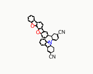 N#CC1=Cc2c(n(C3=CC=C(C#N)CC3c3ccc4oc5c(ccc6c7ccccc7oc65)c4c3)c3ccccc23)CC1